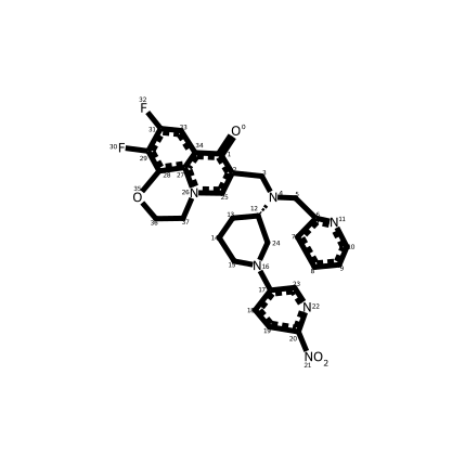 O=c1c(CN(Cc2ccccn2)[C@H]2CCCN(c3ccc([N+](=O)[O-])nc3)C2)cn2c3c(c(F)c(F)cc13)OCC2